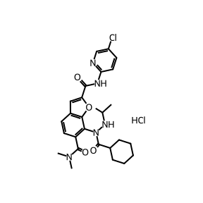 CC(C)NN(C(=O)C1CCCCC1)c1c(C(=O)N(C)C)ccc2cc(C(=O)Nc3ccc(Cl)cn3)oc12.Cl